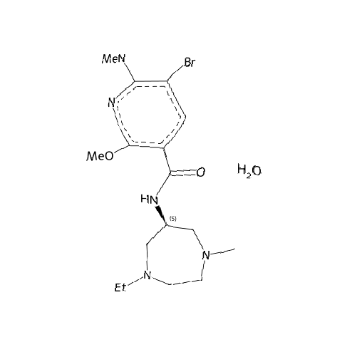 CCN1CCN(C)C[C@H](NC(=O)c2cc(Br)c(NC)nc2OC)C1.O